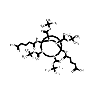 CC(C)(C)OC(=O)N1CCN(C(=O)OC(C)(C)C)CC2(NC(=O)CCCC(=O)O)CNCCNCC(NC(=O)CCCC(=O)O)(C1)CN(C(=O)OC(C)(C)C)CCN(C(=O)OC(C)(C)C)C2